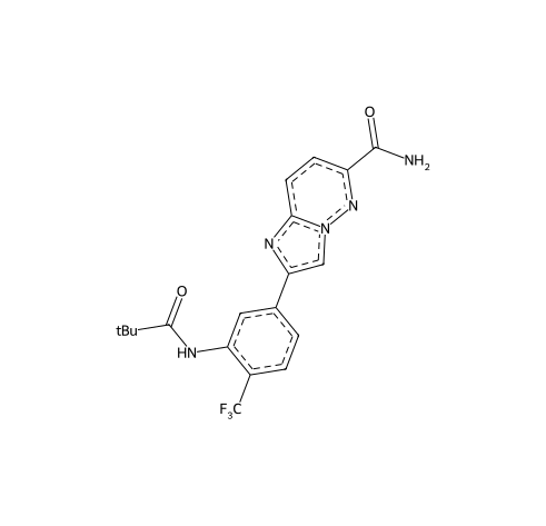 CC(C)(C)C(=O)Nc1cc(-c2cn3nc(C(N)=O)ccc3n2)ccc1C(F)(F)F